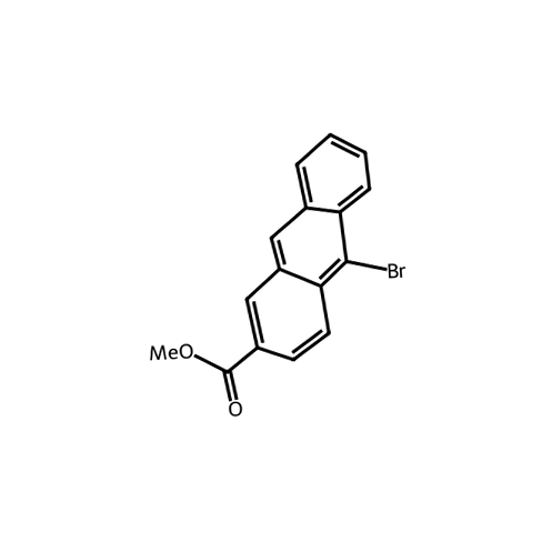 COC(=O)c1ccc2c(Br)c3ccccc3cc2c1